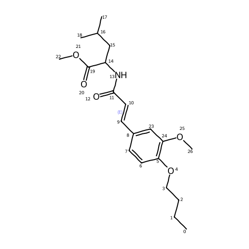 CCCCOc1ccc(/C=C/C(=O)NC(CC(C)C)C(=O)OC)cc1OC